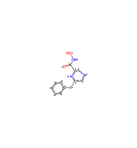 O=C(NO)c1cncc(Sc2ccccc2)n1